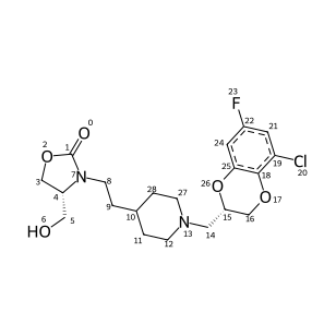 O=C1OC[C@@H](CO)N1CCC1CCN(C[C@H]2COc3c(Cl)cc(F)cc3O2)CC1